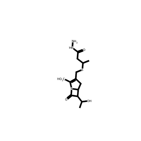 CC(CC(=O)NN)SCC1=C(C(=O)O)N2C(=O)C(C(C)O)C2C1